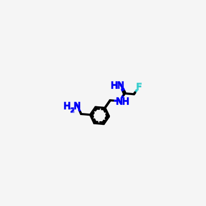 N=C(CF)NCc1cccc(CN)c1